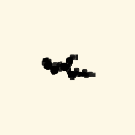 Cc1c(COc2cc(OCc3cncc(C(=O)NCCC(=O)OC(C)(C)C)c3)c(CN3CC[C@H](O)C3)cc2Cl)cccc1-c1ccc2c(c1)OCCO2